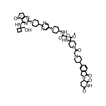 COC(=O)C1(NCC(=O)NC2CCN(c3cnc(C4CCN(c5nc6c(c(NC7(CO)CCC7)n5)[S@+]([O-])CC6)CC4)nc3)CC2)CCN(C(=O)CN2CCC(c3ccc4c(c3)CN(C3CCC(=O)NC3=O)C4=O)CC2)CC1